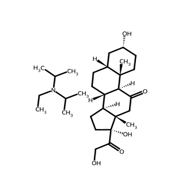 CCN(C(C)C)C(C)C.C[C@]12CC[C@@H](O)C[C@H]1CC[C@@H]1[C@@H]2C(=O)C[C@@]2(C)[C@H]1CC[C@]2(O)C(=O)CO